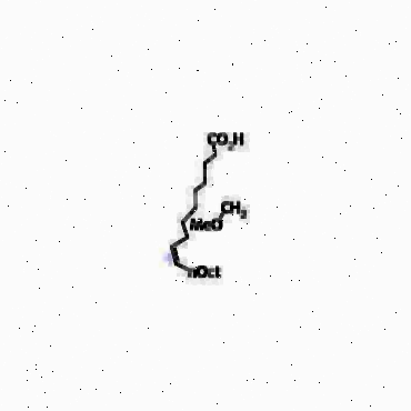 CCCCCCCC/C=C\CCCCCCCC(=O)O.COC